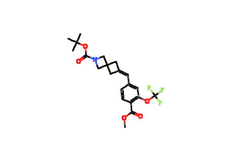 COC(=O)c1ccc(C=C2CC3(C2)CN(C(=O)OC(C)(C)C)C3)cc1OC(F)(F)F